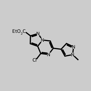 CCOC(=O)c1cc2c(Cl)nc(-c3cnn(C)c3)cn2n1